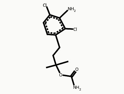 CC(C)(CCc1ccc(Cl)c(N)c1Cl)OC(N)=O